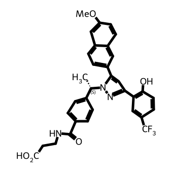 COc1ccc2cc(-c3cc(-c4cc(C(F)(F)F)ccc4O)nn3[C@@H](C)c3ccc(C(=O)NCCC(=O)O)cc3)ccc2c1